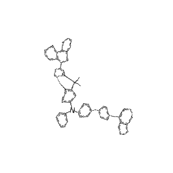 CC1(C)c2cc(-c3cc4ccccc4c4ccccc34)ccc2-c2ccc(N(c3ccccc3)c3ccc(-c4ccc(-c5cccc6ccccc56)cc4)cc3)cc21